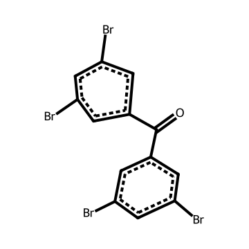 O=C(c1cc(Br)cc(Br)c1)c1cc(Br)cc(Br)c1